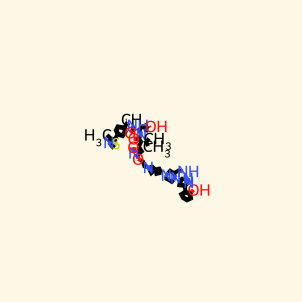 Cc1ncsc1-c1ccc([C@H](C)NC(=O)[C@@H]2C[C@@H](O)CN2C(=O)[C@@H](c2cc(OCCN3CC4(CC(N5CCN6c7cc(-c8ccccc8O)nnc7NCC6C5)C4)C3)no2)C(C)C)cc1